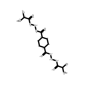 CCCCC(CC)C(=O)OOOC(=O)C1CCC(C(=O)OOOC(=O)C(CC)CCCC)CC1